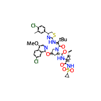 C=C[C@@H]1C[C@]1(NC(=O)[C@@H]1C[C@@H](Oc2ncc(OC)c3ccc(Cl)cc23)CN1C(=O)[C@@H](NC1=NC(c2ccc(Cl)c(C)c2)CS1)C(C)(C)C)C(=O)NS(=O)(=O)C1CC1